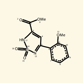 COC(=O)C1=CC(c2ccccc2OC)=NS(=O)(=O)N1